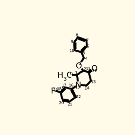 CC1C(OCc2ccccc2)C(=O)CCN1c1[c]c(F)ccc1